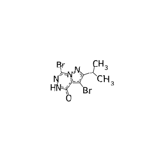 CC(C)c1nn2c(Br)n[nH]c(=O)c2c1Br